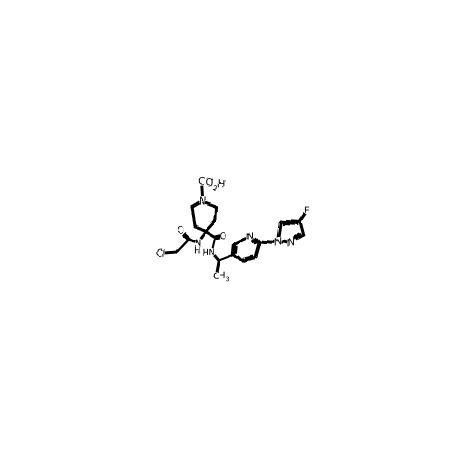 CC(NC(=O)C1(NC(=O)CCl)CCN(C(=O)O)CC1)c1ccc(-n2cc(F)cn2)nc1